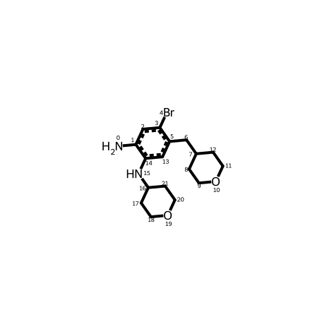 Nc1cc(Br)c(CC2CCOCC2)cc1NC1CCOCC1